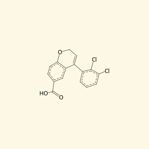 O=C(O)c1ccc2c(c1)C(c1cccc(Cl)c1Cl)=CCO2